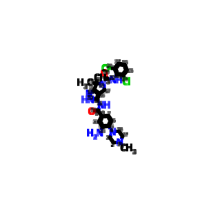 CN1CCN(c2ccc(C(=O)Nc3[nH]nc4c3CN(C(=O)Nc3c(Cl)cccc3Cl)C4(C)C)cc2N)CC1